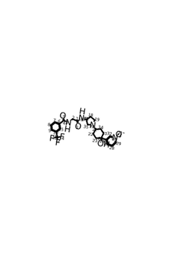 O=C(CNC(=O)c1cccc(C(F)(F)F)c1)N[C@@H]1CCN(C2CCC(O)(c3ccc[n+]([O-])c3)CC2)C1